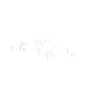 CC(C)(C)[Si](C)(C)OCCSc1nnc(-c2cc(Cl)ccc2F)cc1Nc1ccnc(NC(=O)C23CC(CN4CCN(C5CC5)CC4)(C2)C3)c1